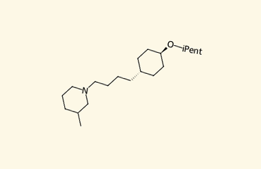 CCCC(C)O[C@H]1CC[C@H](CCCCN2CCCC(C)C2)CC1